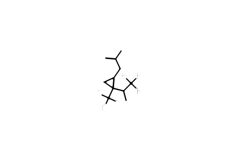 CC(C)CC1CC1(C(C)C(F)(F)F)C(F)(F)F